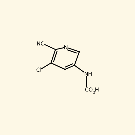 N#Cc1ncc(NC(=O)O)cc1Cl